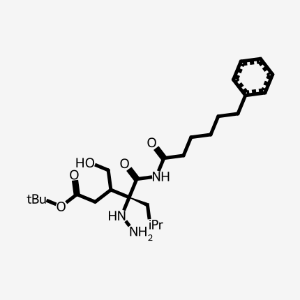 CC(C)C[C@](NN)(C(=O)NC(=O)CCCCCc1ccccc1)C(CO)CC(=O)OC(C)(C)C